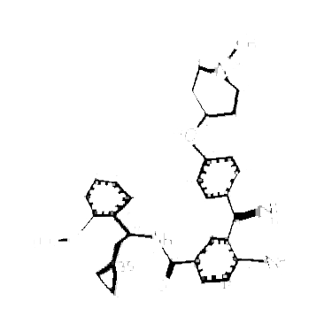 COc1ccccc1C(NC(=O)c1ccc(N)c(C(=N)c2ccc(OC3CCN(C)CC3)cc2)c1)C1CC1